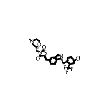 CN1CCO[C@H](CN2C(=O)SC(=Cc3ccc4c(cnn4Cc4ccc(Cl)cc4C(F)(F)F)c3)C2=O)C1